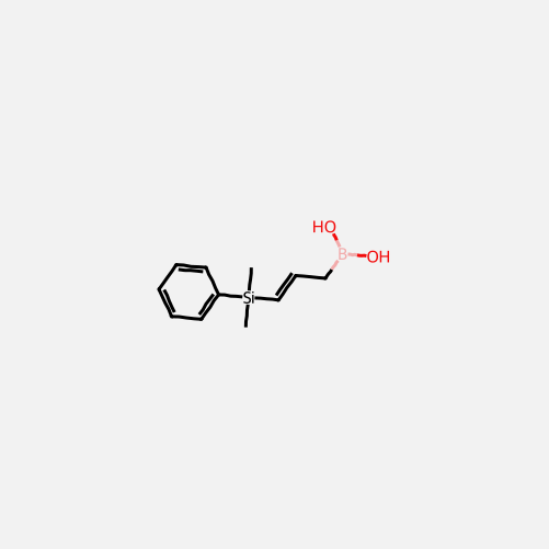 C[Si](C)(C=CCB(O)O)c1ccccc1